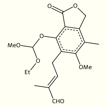 CCOC(OC)Oc1c(CC=C(C)C=O)c(OC)c(C)c2c1C(=O)OC2